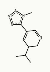 CC(C)[C]1C=C(c2nnnn2C)C=NC1